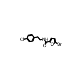 O=C(NCCc1ccc(Cl)cc1)c1ccc(Br)o1